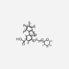 Cc1c(C(=O)O)cc(-c2c(F)c(F)c(F)c(F)c2F)c(Br)c1OCCOC1CCCCO1